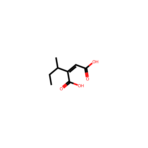 CCC(C)C(=CC(=O)O)C(=O)O